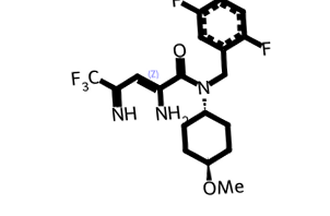 CO[C@H]1CC[C@H](N(Cc2cc(F)ccc2F)C(=O)/C(N)=C/C(=N)C(F)(F)F)CC1